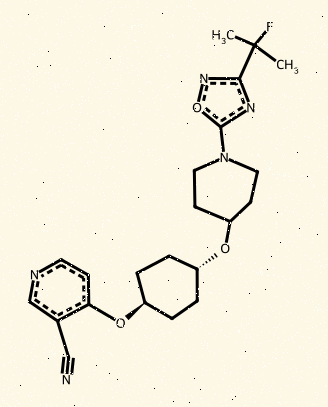 CC(C)(F)c1noc(N2CCC(O[C@H]3CC[C@H](Oc4ccncc4C#N)CC3)CC2)n1